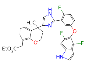 CCOC(=O)Cc1cccc2c1OCCC2(C)c1c[nH]c(-c2cc(Oc3c(F)cc4[nH]ccc4c3F)ccc2F)n1